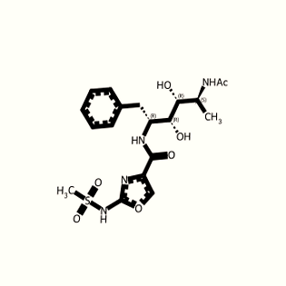 CC(=O)N[C@@H](C)[C@@H](O)[C@H](O)[C@@H](Cc1ccccc1)NC(=O)c1coc(NS(C)(=O)=O)n1